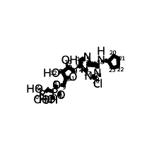 O=P(O)(O)CP(=O)(O)OCC1O[C@@H](c2cnc3c(NC4CCCC4)nc(Cl)nn23)[C@H](O)[C@@H]1O